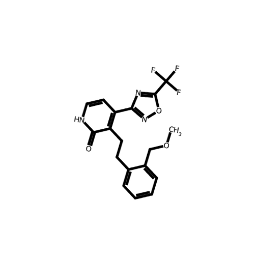 COCc1ccccc1CCc1c(-c2noc(C(F)(F)F)n2)cc[nH]c1=O